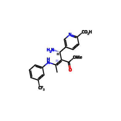 COC(=O)/C(=C(\C)Nc1cccc(C(F)(F)F)c1)[C@H](N)c1ccc(C(=O)O)nc1